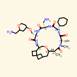 CCC[C@H]1C(=O)N[C@@H](C2CCCCCC2)C(=O)N[C@@H](CN)C(=O)N[C@@H](COC2CCOC(CN)C2)C(=O)N[C@H]2CO[C@H](CC3CC4(CCC24)C3)[C@@H](C)C(=O)N1C